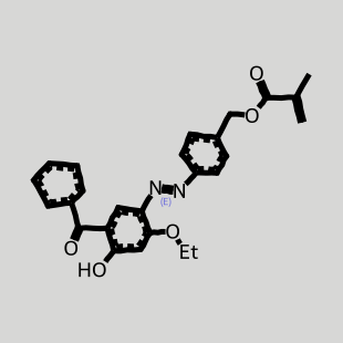 C=C(C)C(=O)OCc1ccc(/N=N/c2cc(C(=O)c3ccccc3)c(O)cc2OCC)cc1